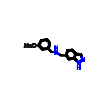 COc1cccc(CNCc2ccc3cn[nH]c3c2)c1